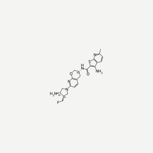 Cc1ccc2c(N)c(C(=O)N[C@H]3COc4nc(N5C[C@@H](CF)[C@@H](N)C5)ccc4C3)sc2n1